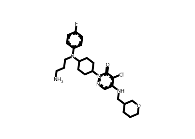 NCCCN(c1ccc(F)cc1)C1CCC(n2ncc(NCC3CCCOC3)c(Cl)c2=O)CC1